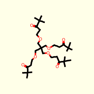 CC(C)(C)C(=O)CCOCC(COCCC(=O)C(C)(C)C)(COCCC(=O)C(C)(C)C)COCCC(=O)C(C)(C)C